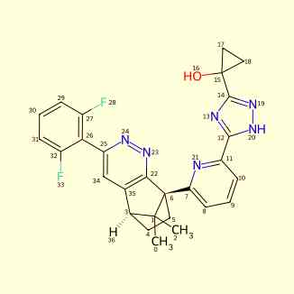 CC1(C)[C@H]2CC[C@@]1(c1cccc(-c3nc(C4(O)CC4)n[nH]3)n1)c1nnc(-c3c(F)cccc3F)cc12